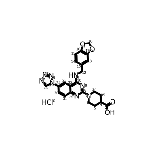 Cl.O=C(O)C1CCN(c2nc(NCc3ccc4c(c3)OCO4)c3cc(-n4cnnn4)ccc3n2)CC1